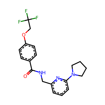 O=C(NCc1cccc(N2CCCC2)n1)c1ccc(OCC(F)(F)F)cc1